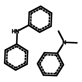 CN(C)c1ccccc1.c1ccc(Nc2ccccc2)cc1